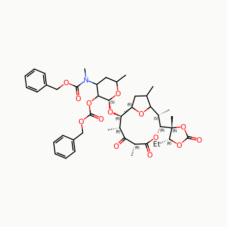 CC[C@H]1OC(=O)O[C@@]1(C)[C@@H]1OC(=O)[C@H](C)C(=O)[C@H](C)[C@@H](O[C@@H]2OC(C)CC(N(C)C(=O)OCc3ccccc3)C2OC(=O)OCc2ccccc2)[C@@]2(C)CC(C)C(O2)[C@@H]1C